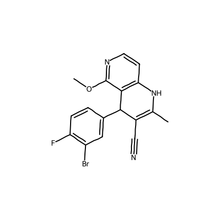 COc1nccc2c1C(c1ccc(F)c(Br)c1)C(C#N)=C(C)N2